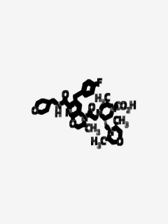 CC1COc2nc(C(=O)NCC3CCOCC3)c(Cc3ccc(F)cc3)cc2N1C(=O)CN1C[C@@H](C)N(C(=O)O)C[C@@H]1CN1[C@H](C)COC[C@H]1C